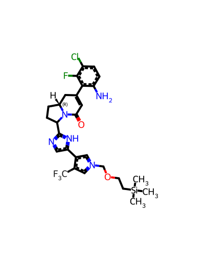 C[Si](C)(C)CCOCn1cc(-c2cnc(C3CC[C@@H]4CC(c5c(N)ccc(Cl)c5F)=CC(=O)N34)[nH]2)c(C(F)(F)F)c1